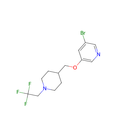 FC(F)(F)CN1CCC(COc2cncc(Br)c2)CC1